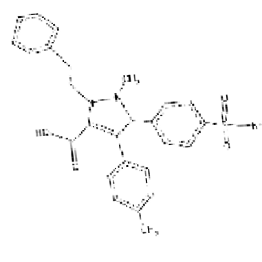 Cc1ccc(C2=C(C(=O)O)N(CCc3ccccc3)N(C)C2c2ccc(S(N)(=O)=O)cc2)cc1